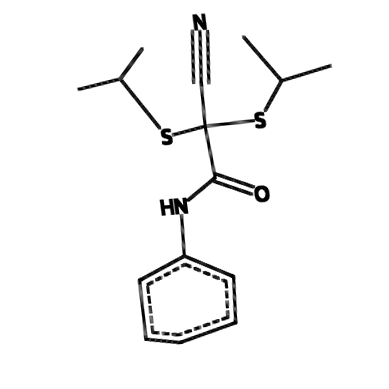 CC(C)SC(C#N)(SC(C)C)C(=O)Nc1ccccc1